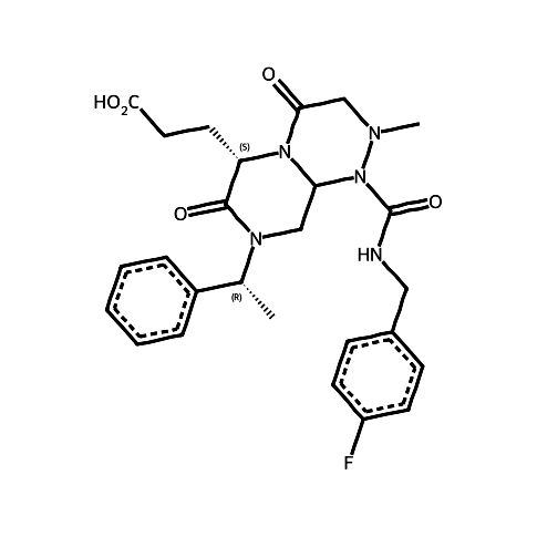 C[C@H](c1ccccc1)N1CC2N(C(=O)CN(C)N2C(=O)NCc2ccc(F)cc2)[C@@H](CCC(=O)O)C1=O